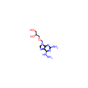 NNc1nc(N)nc2c1ncn2COCC(O)CO